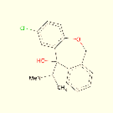 CNC(C)C1(O)c2ccccc2COc2ccc(Cl)cc21